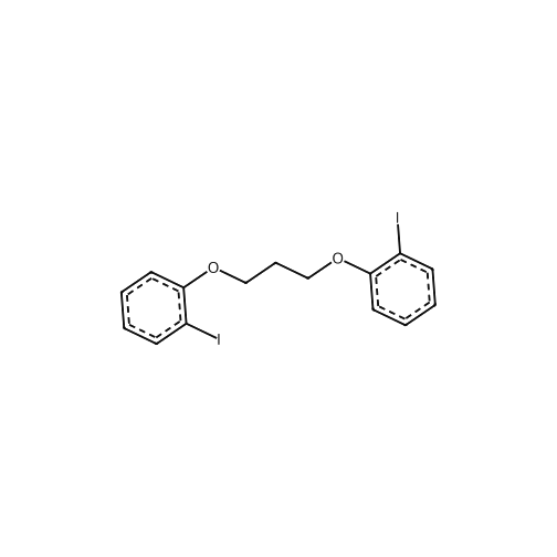 Ic1ccccc1OCCCOc1ccccc1I